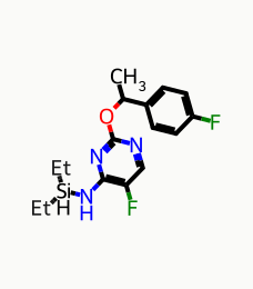 CC[SiH](CC)Nc1nc(OC(C)c2ccc(F)cc2)ncc1F